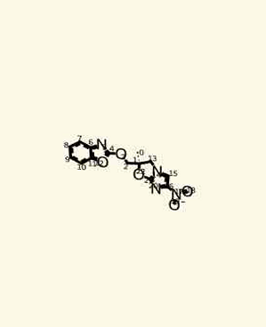 C[C@]1(COc2nc3ccccc3o2)Cn2cc([N+](=O)[O-])nc2O1